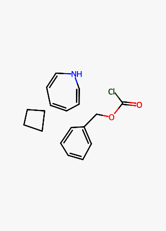 C1=CC=CNC=C1.C1CCC1.O=C(Cl)OCc1ccccc1